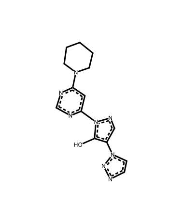 Oc1c(-n2ccnn2)cnn1-c1cc(N2CCCCC2)ncn1